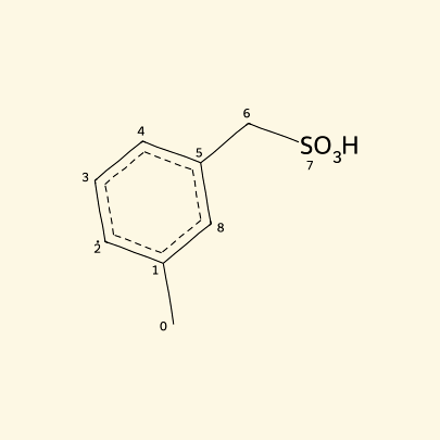 Cc1[c]ccc(CS(=O)(=O)O)c1